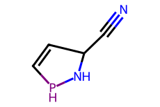 N#CC1C=CPN1